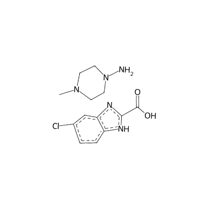 CN1CCN(N)CC1.O=C(O)c1nc2cc(Cl)ccc2[nH]1